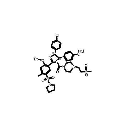 CCOc1cc(C)c(S(=O)(=O)N2CCCC2)cc1C1=N[C@@H](c2ccc(Cl)cc2)[C@@H](c2ccc(Cl)cc2)N1C(=O)N1CCN(CCS(C)(=O)=O)CC1.Cl